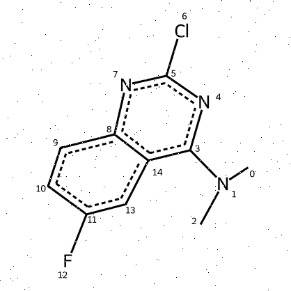 CN(C)c1nc(Cl)nc2ccc(F)cc12